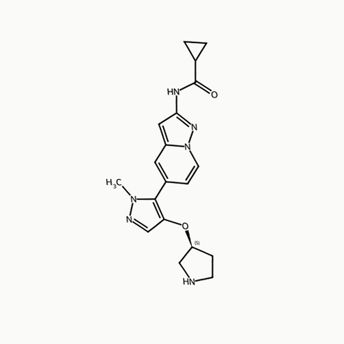 Cn1ncc(O[C@H]2CCNC2)c1-c1ccn2nc(NC(=O)C3CC3)cc2c1